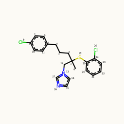 CC(CCCc1ccc(Cl)cc1)(Cn1ccnc1)Sc1ccccc1Cl